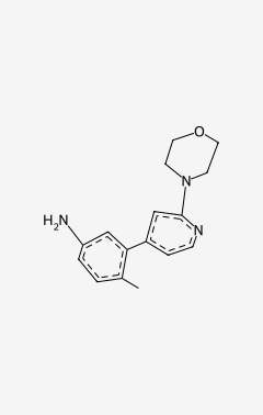 Cc1ccc(N)cc1-c1ccnc(N2CCOCC2)c1